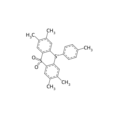 Cc1ccc([S+]2c3cc(C)c(C)cc3S(=O)(=O)c3cc(C)c(C)cc32)cc1